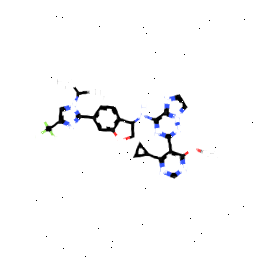 COc1ncnc(C2CC2)c1-c1nc(NC2COc3cc(-c4nc(C(F)(F)F)cn4C(C)C)ccc32)c2nccn2n1